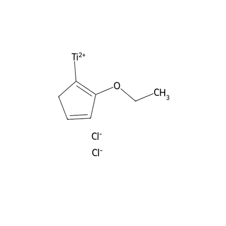 CCOC1=[C]([Ti+2])CC=C1.[Cl-].[Cl-]